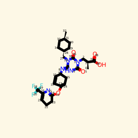 C[C@@H](Cn1c(=O)[nH]/c(=N\C2C=CC(OC3=NC(C(F)(F)F)=CCC3)=CC2)n(C[C@H]2CC[C@H](C)CC2)c1=O)C(=O)O